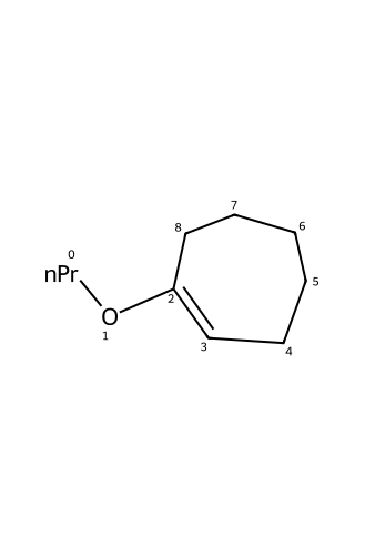 CCCOC1=CCCCCC1